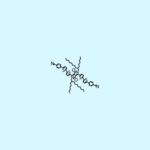 CCCCCCCCC(CCCCCC)CN1C(=O)C2=C(c3ccc(-c4ccc(-c5ccc(C#N)cc5)s4)s3)N(CC(CCCCCC)CCCCCCCC)C(=O)C2=C1c1ccc(-c2ccc(-c3ccc(C#N)cc3)s2)s1